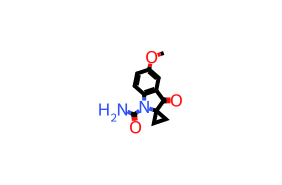 COc1ccc2c(c1)C(=O)C1(CC1)N2C(N)=O